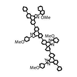 COc1ccc(C2=Nc3c(c4cc(-c5ccc6c7ccc(-c8ccc9c%10ccc(-c%11ccccc%11)cc%10c%10nc(-c%11ccc(OC)cc%11)n(C)c%10c9c8)cc7c7nc8cccc(OC)c8nc7c6c5)ccc4c4ccc(-c5ccc6c(c5)c5c(c7cc(-c8ccccc8)ccc76)CC(c6c(OC)ccc7ccccc67)=N5)cc34)C2)cc1